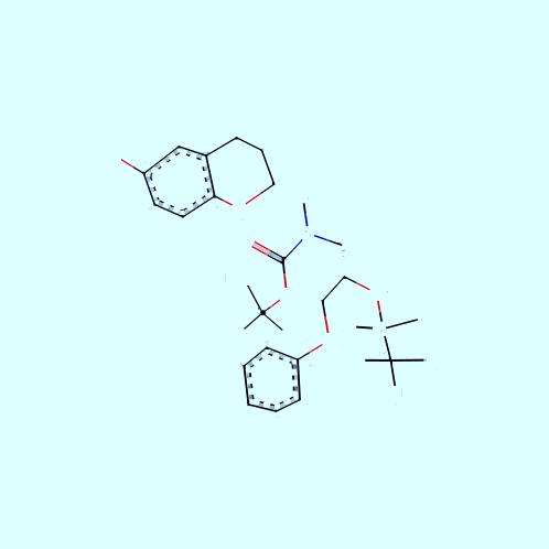 CC(C)(C)OC(=O)N(C[C@H]1CCc2cc(O)ccc2O1)C[C@@H](COc1ccccc1)O[Si](C)(C)C(C)(C)C